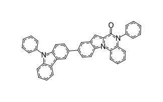 O=c1c2cc3cc(-c4ccc5c(c4)c4ccccc4n5-c4ccccc4)ccc3n2c2ccccc2n1-c1ccccc1